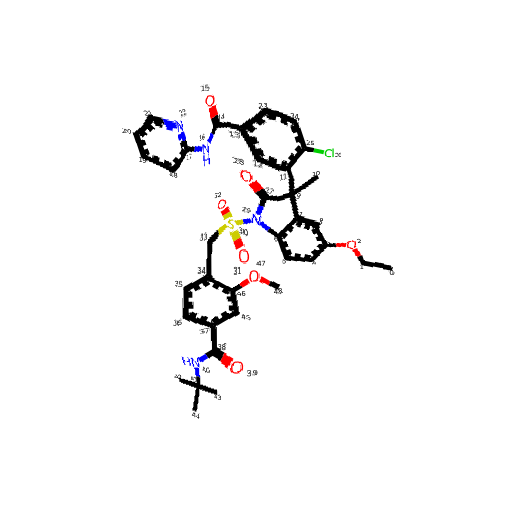 CCOc1ccc2c(c1)C(C)(c1cc(C(=O)Nc3ccccn3)ccc1Cl)C(=O)N2S(=O)(=O)Cc1ccc(C(=O)NC(C)(C)C)cc1OC